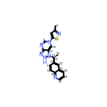 Cc1cc(N2C=NC3=NNN([C@@H](C)c4ccc5ncccc5c4)C3=C2)sn1